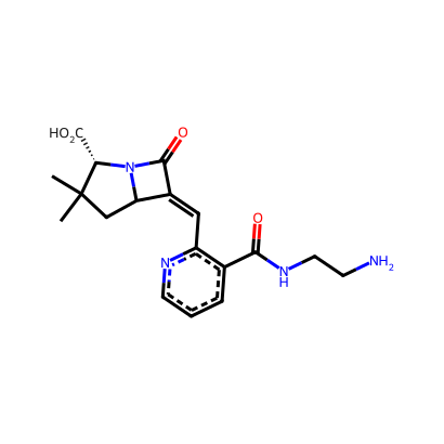 CC1(C)CC2/C(=C\c3ncccc3C(=O)NCCN)C(=O)N2[C@H]1C(=O)O